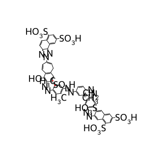 C=C(C)/C=C(\C=C/C/N=N\c1ccc(/N=N\c2cc3c(S(=O)(=O)O)cc(S(=O)(=O)O)cc3cc2S(=O)(=O)O)cc1)N=Nc1cc(C)c(/N=N\c2c(S(=O)(=O)O)cc3c(c2O)C=CC(n2nc4ccc5c(S(=O)(=O)O)cc(S(=O)(=O)O)cc5c4n2)=CC3)cc1C